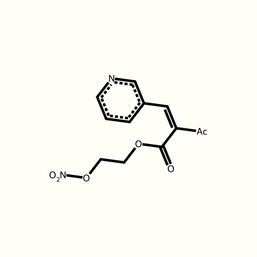 CC(=O)C(=Cc1cccnc1)C(=O)OCCO[N+](=O)[O-]